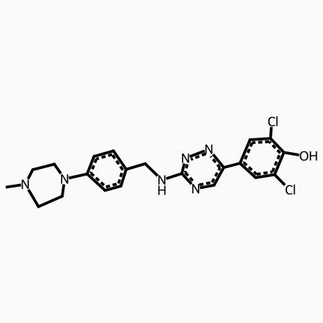 CN1CCN(c2ccc(CNc3ncc(-c4cc(Cl)c(O)c(Cl)c4)nn3)cc2)CC1